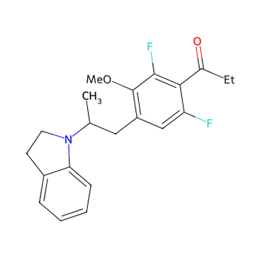 CCC(=O)c1c(F)cc(CC(C)N2CCc3ccccc32)c(OC)c1F